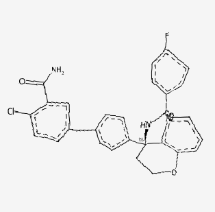 NC(=O)c1cc(-c2ccc([C@@]3(NC(=O)c4ccc(F)cc4)CCOc4cccnc43)cc2)ccc1Cl